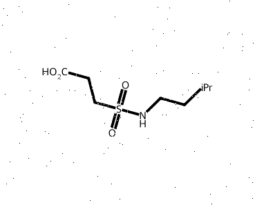 CC(C)CCNS(=O)(=O)CCC(=O)O